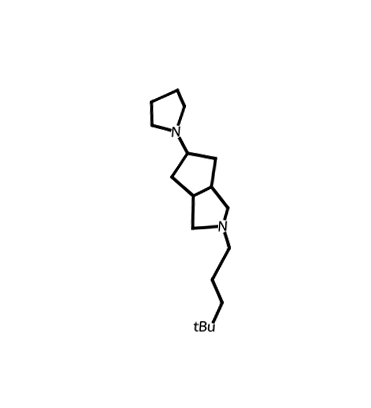 CC(C)(C)CCCN1CC2CC(N3CCCC3)CC2C1